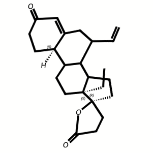 C=CC1CC2=CC(=O)CC[C@@H]2C2CC[C@@]3(CC)C(CC[C@@]34CCC(=O)O4)C12